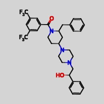 O=C(c1cc(C(F)(F)F)cc(C(F)(F)F)c1)N1CCC(N2CCN(CC(O)c3ccccc3)CC2)CC1Cc1ccccc1